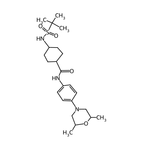 CC1CN(c2ccc(NC(=O)C3CCC(NS(=O)(=O)C(C)(C)C)CC3)cc2)CC(C)O1